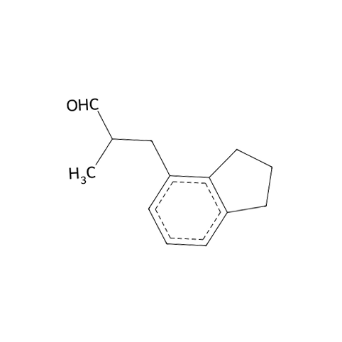 CC(C=O)Cc1cccc2c1CCC2